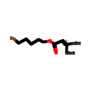 CCCCCCCC/C(=C/C(=O)OCCCCCBr)CCCCC